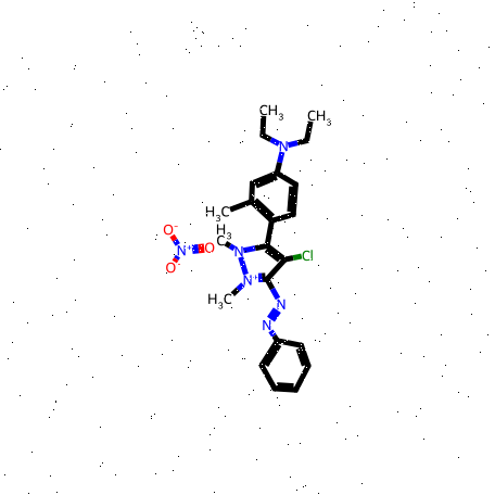 CCN(CC)c1ccc(-c2c(Cl)c(N=Nc3ccccc3)[n+](C)n2C)c(C)c1.O=[N+]([O-])[O-]